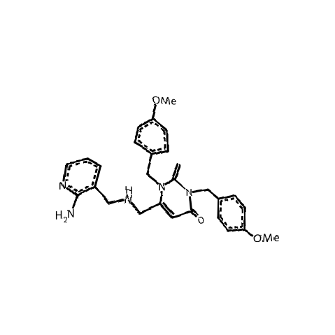 C=C1N(Cc2ccc(OC)cc2)C(=O)C=C(CNCc2cccnc2N)N1Cc1ccc(OC)cc1